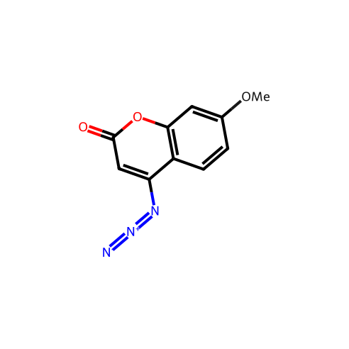 COc1ccc2c(N=[N+]=[N-])cc(=O)oc2c1